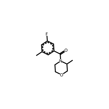 Cc1cc(F)cc(C(=O)N2CCOCC2C)c1